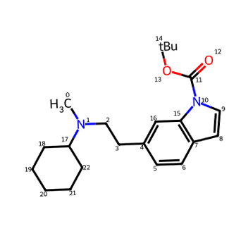 CN(CCc1ccc2ccn(C(=O)OC(C)(C)C)c2c1)C1CCCCC1